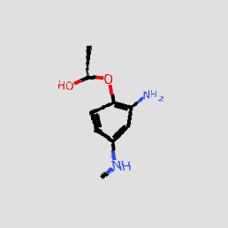 CNc1ccc(O[C@H](C)O)c(N)c1